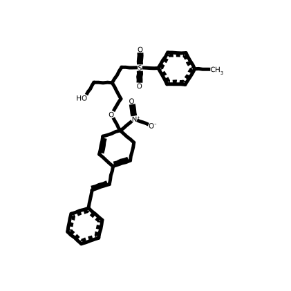 Cc1ccc(S(=O)(=O)CC(CO)COC2([N+](=O)[O-])C=CC(C=Cc3ccccc3)=CC2)cc1